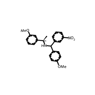 COc1ccc(C(N[C@H](C)c2cccc(OC)c2)c2cccc([N+](=O)[O-])c2)cc1